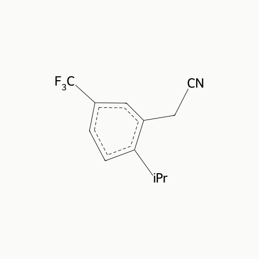 CC(C)c1ccc(C(F)(F)F)cc1CC#N